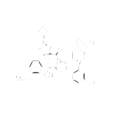 COc1ccc([C@@H]2CN(C3CCC3)C[C@@]2(F)C(=O)N2C[C@H](c3ccc(C(F)(F)F)cc3N3CCC(C(=O)O)CC3)C[C@H]2CC#N)cc1